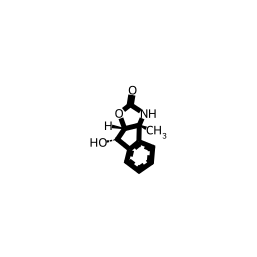 C[C@]12NC(=O)O[C@H]1[C@@H](O)c1ccccc12